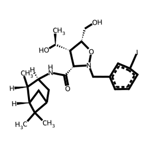 C[C@@H]1[C@@H](NC(=O)[C@@H]2[C@H]([C@H](C)O)[C@H](CO)ON2Cc2cccc(I)c2)CC2C[C@@H]1C2(C)C